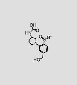 O=C(O)NC1CCN(c2cc(CO)ccc2[N+](=O)[O-])C1